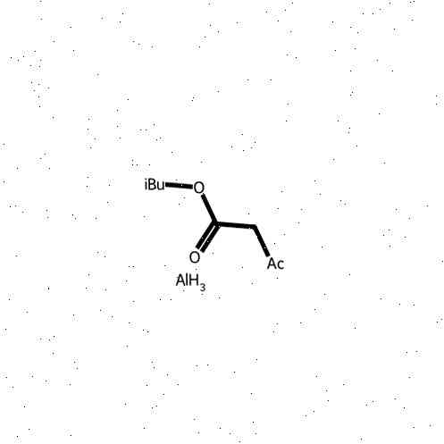 CCC(C)OC(=O)CC(C)=O.[AlH3]